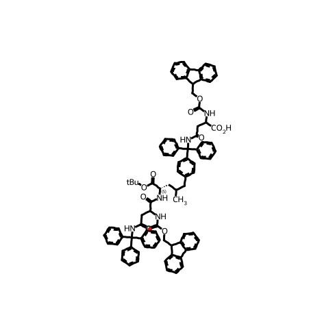 CC(Cc1ccc(C(NC(=O)CC(NC(=O)OCC2c3ccccc3-c3ccccc32)C(=O)O)(c2ccccc2)c2ccccc2)cc1)C[C@H](NC(=O)C(CC(=O)NC(c1ccccc1)(c1ccccc1)c1ccccc1)NC(=O)OCC1c2ccccc2-c2ccccc21)C(=O)OC(C)(C)C